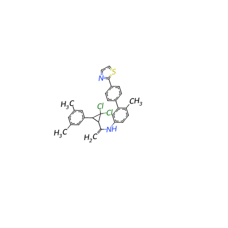 C=C(Nc1ccc(C)c(-c2ccc(-c3nccs3)cc2)c1)C1C(c2cc(C)cc(C)c2)C1(Cl)Cl